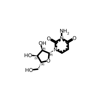 Nn1c(=O)ccn([C@@H]2O[C@H](CO)[C@@H](O)[C@H]2O)c1=O